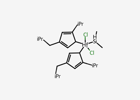 CC(C)CC1=C[CH]([Hf]([Cl])([Cl])([CH]2C=C(CC(C)C)C=C2C(C)C)[SiH](C)C)C(C(C)C)=C1